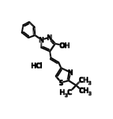 CC(C)(C)c1nc(/C=C/c2cn(-c3ccccc3)nc2O)cs1.Cl